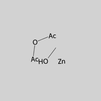 CC(=O)OC(C)=O.CO.[Zn]